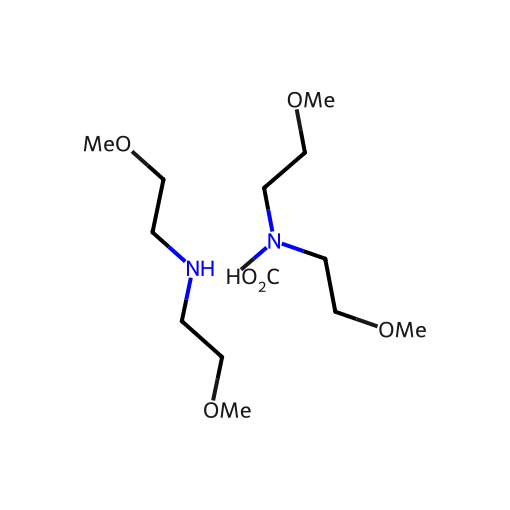 COCCN(CCOC)C(=O)O.COCCNCCOC